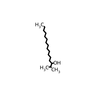 CCCCCCCCCCCCCC(O)C(C)C